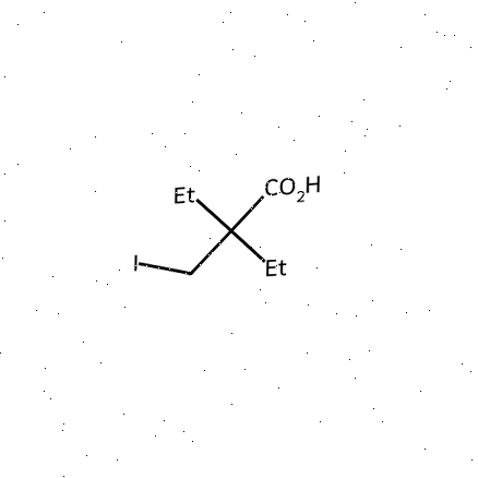 CCC(CC)(CI)C(=O)O